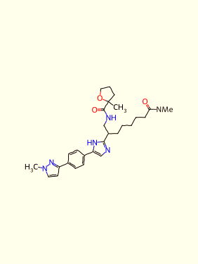 CNC(=O)CCCCCC(CNC(=O)C1(C)CCCO1)c1ncc(-c2ccc(-c3ccn(C)n3)cc2)[nH]1